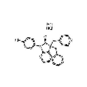 Cl.Cl.O=C1N(c2ccc(Cl)cc2)c2ncccc2C1(Cc1ccncc1)Cc1ccccn1